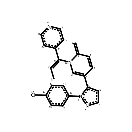 C=C1C=CC(c2ccnn2-c2ccc(Cl)cc2)=CN1/C(=C\C)c1ccncc1